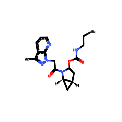 CC(=O)c1nn(CC(=O)N2[C@@H](OC(=O)NCCC(C)(C)C)C[C@H]3C[C@H]32)c2ncccc12